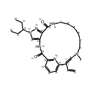 C=C/C1=C\N(C)CCCCCCNC(=O)c2nn(C(CC)CC)cc2NC(=O)c2cccc1n2